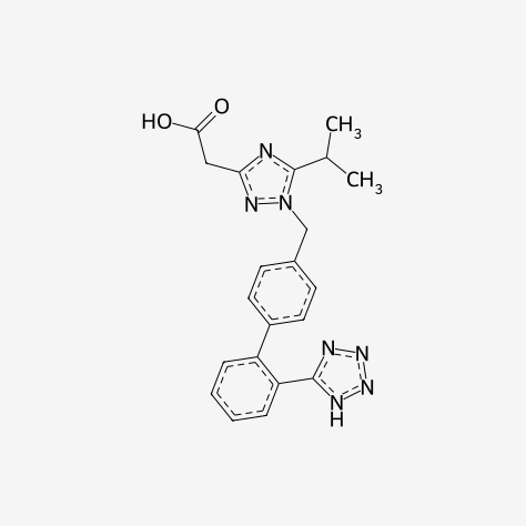 CC(C)c1nc(CC(=O)O)nn1Cc1ccc(-c2ccccc2-c2nnn[nH]2)cc1